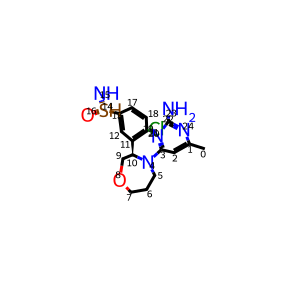 Cc1cc(N2CCCOC[C@H]2c2cc([SH](=N)=O)ccc2Cl)nc(N)n1